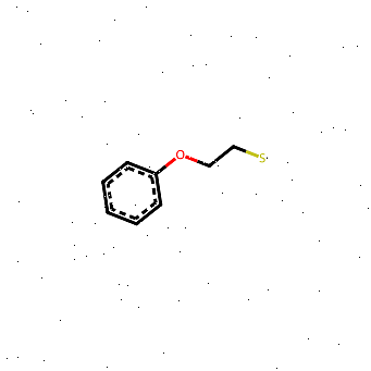 [S]CCOc1ccccc1